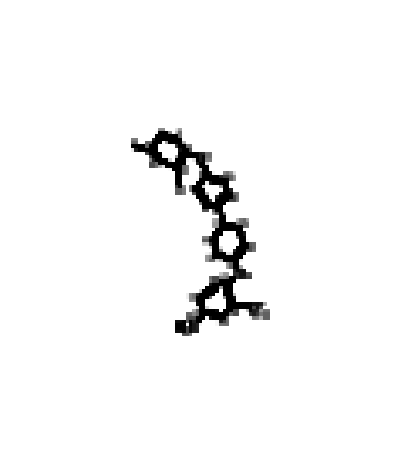 Cc1ccc(Oc2ccc(-c3ccc(Oc4ccc(N)cc4C(F)(F)F)cc3)cc2)c(C)c1